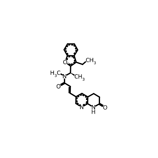 CCc1c([C@@H](C)N(C)C(=O)C=Cc2cnc3c(c2)CCC(=O)N3)oc2ccccc12